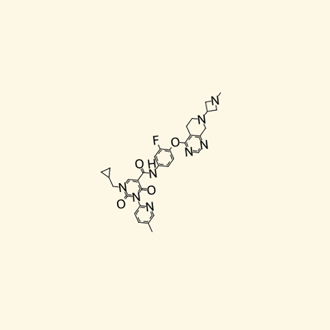 Cc1ccc(-n2c(=O)c(C(=O)Nc3ccc(Oc4ncnc5c4CCN(C4CN(C)C4)C5)c(F)c3)cn(CC3CC3)c2=O)nc1